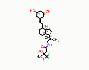 C[C@@H](CNC(=O)C[C@@](C)(O)C(F)(F)F)[C@H]1CC[C@H]2/C(=C/C=C3C[C@@H](O)C[C@H](O)C3)CCC[C@]12C